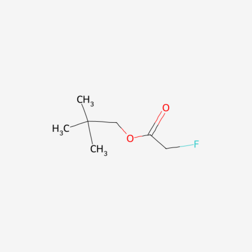 CC(C)(C)COC(=O)CF